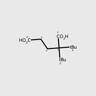 CC(C)(C)C(CCC(=O)O)(C(=O)O)C(C)(C)C